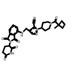 CC1(C(=O)N2CCC(n3ncc(CNc4cccc5c4C(=O)N(C4CCC(=O)NC4=O)C5=O)c3C#N)CC2)CCC1